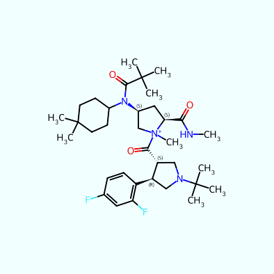 CNC(=O)[C@@H]1C[C@H](N(C(=O)C(C)(C)C)C2CCC(C)(C)CC2)C[N+]1(C)C(=O)[C@@H]1CN(C(C)(C)C)C[C@H]1c1ccc(F)cc1F